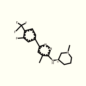 Cc1cc(-c2ccc(C(F)(F)F)c(F)c2)nnc1N[C@@H]1CCCN(C)C1